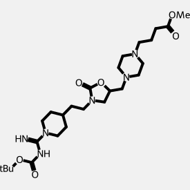 COC(=O)CCCN1CCN(CC2CN(CCC3CCN(C(=N)NC(=O)OC(C)(C)C)CC3)C(=O)O2)CC1